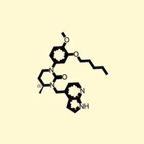 CCCCCOc1cc(N2CC[C@H](C)N(Cc3ccnc4[nH]ccc34)C2=O)ccc1OC